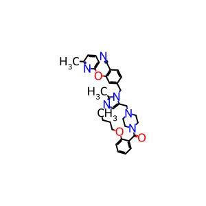 CCCCOc1ccccc1C(=O)N1CCN(Cc2cnc(C)n2Cc2ccc(C#N)c(Oc3cccc(C)n3)c2)CC1